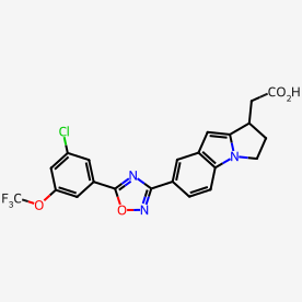 O=C(O)CC1CCn2c1cc1cc(-c3noc(-c4cc(Cl)cc(OC(F)(F)F)c4)n3)ccc12